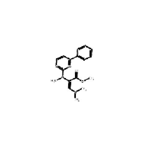 COC(=O)/C(=C\N(C)C)N(C)c1nccc(-c2ccccc2)n1